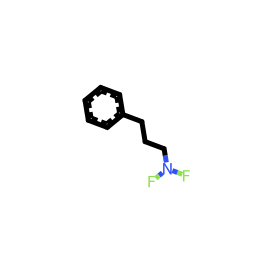 FN(F)CCCc1ccccc1